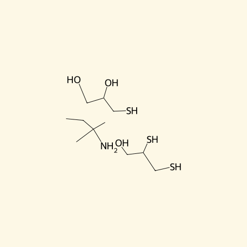 CCC(C)(C)N.OCC(O)CS.OCC(S)CS